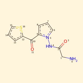 NCC(=O)Nn1cccc1C(=O)c1cccs1